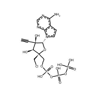 C#C[C@@]1(O)[C@H](O)[C@@](CCl)(COP(=O)(O)OP(=O)(O)OP(=O)(O)O)O[C@H]1n1ccc2c(N)ncnc21